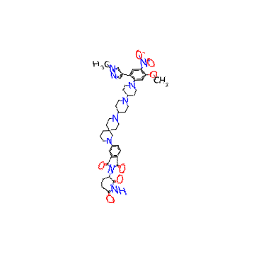 COc1cc(N2CCC(N3CCC(N4CCC5(CCCN(c6ccc7c(c6)C(=O)N(C6CCC(=O)NC6=O)C7=O)C5)CC4)CC3)CC2)c(-c2cnn(C)c2)cc1[N+](=O)[O-]